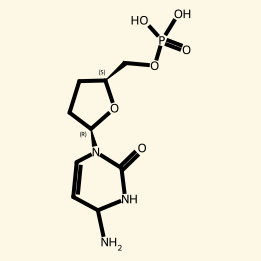 NC1C=CN([C@H]2CC[C@@H](COP(=O)(O)O)O2)C(=O)N1